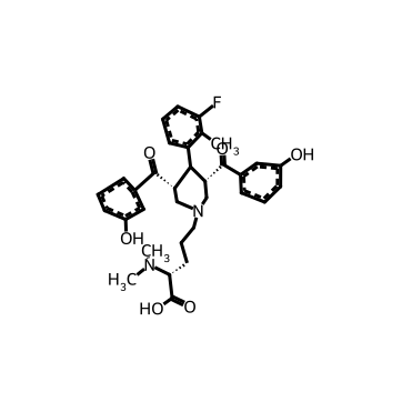 Cc1c(F)cccc1C1[C@@H](C(=O)c2cccc(O)c2)CN(CCC[C@H](C(=O)O)N(C)C)C[C@H]1C(=O)c1cccc(O)c1